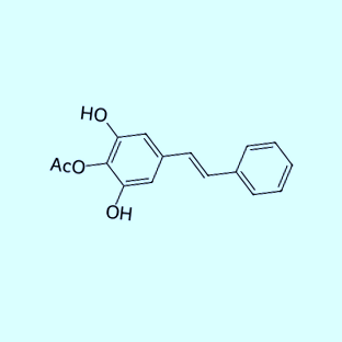 CC(=O)Oc1c(O)cc(/C=C/c2ccccc2)cc1O